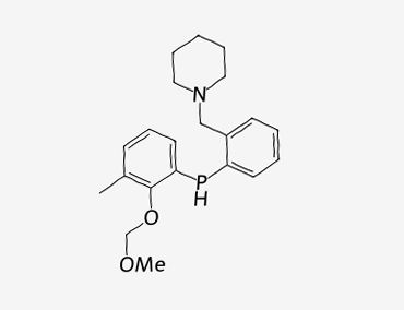 COCOc1c(C)cccc1Pc1ccccc1CN1CCCCC1